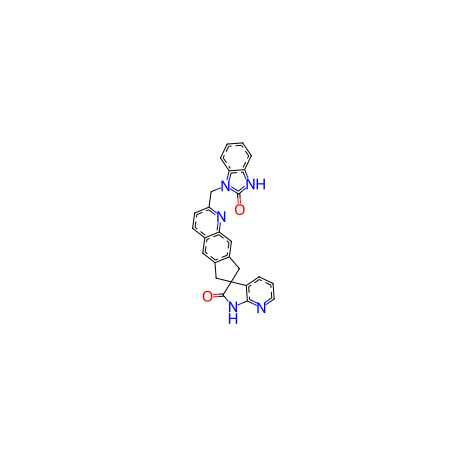 O=C1Nc2ncccc2C12Cc1cc3ccc(Cn4c(=O)[nH]c5ccccc54)nc3cc1C2